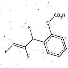 O=C(O)Oc1ccccc1C(F)C(F)=CF